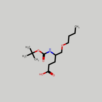 CCCCOCC(CCC(=O)O)NC(=O)OC(C)(C)C